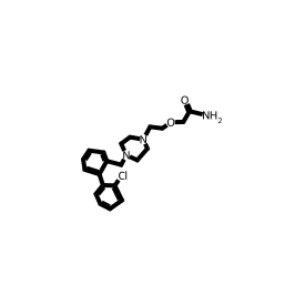 NC(=O)COCCN1CCN(Cc2ccccc2-c2ccccc2Cl)CC1